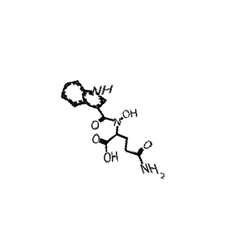 NC(=O)CCC(C(=O)O)N(O)C(=O)c1c[nH]c2ccccc12